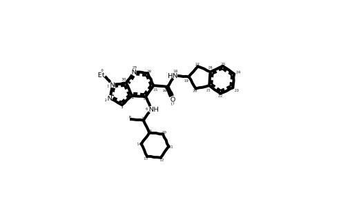 CCn1ncc2c(NC(C)C3CCCCC3)c(C(=O)NC3Cc4ccccc4C3)cnc21